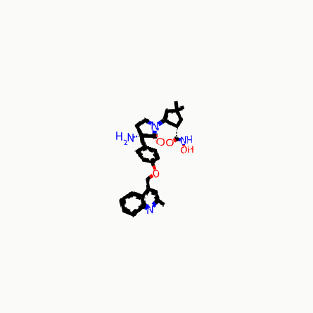 Cc1cc(COc2ccc([C@@]3(N)CCN(C4CC(C)(C)C[C@@H]4C(=O)NO)C3=O)cc2)c2ccccc2n1